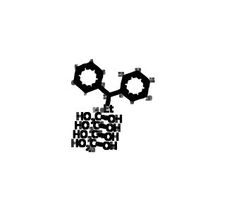 CCC(c1ccccc1)c1ccccc1.O=C(O)O.O=C(O)O.O=C(O)O.O=C(O)O